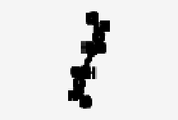 N#CC1(CCc2ccccc2)CCN(C(=O)NCCCCCCNC(=O)N2CCC(C#N)(CCc3ccccc3)CC2)CC1